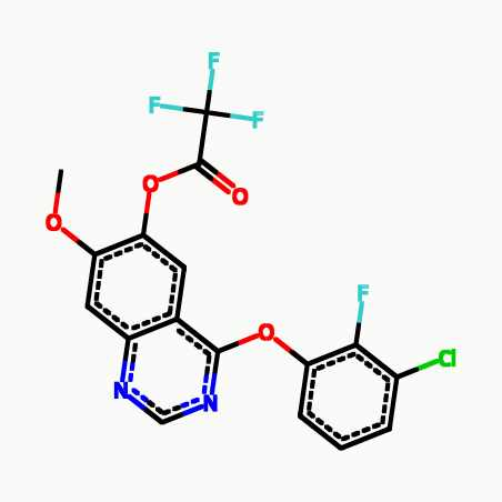 COc1cc2ncnc(Oc3cccc(Cl)c3F)c2cc1OC(=O)C(F)(F)F